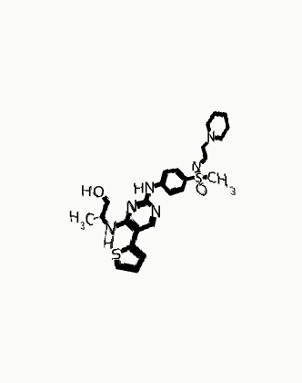 C[C@H](CO)Nc1nc(Nc2ccc(S(C)(=O)=NCCN3CCCCC3)cc2)ncc1-c1cccs1